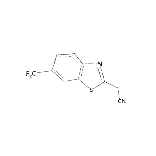 N#CCc1nc2ccc(C(F)(F)F)cc2s1